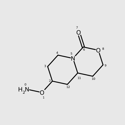 NOC1CCN2C(=O)OCCC2C1